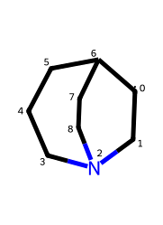 [CH]1CN2CCCC1CC2